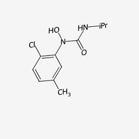 Cc1ccc(Cl)c(N(O)C(=O)NC(C)C)c1